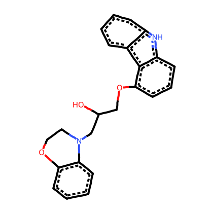 OC(COc1cccc2[nH]c3ccccc3c12)CN1CCOc2ccccc21